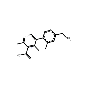 C=C(C)/C(C(=C)C#N)=C(C)\C(=C/CC)c1cnc(CN)cc1C